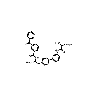 CCCCCCCC(C)C(=O)Nc1cccc(-c2ccc(CC(NC(=O)c3cccc(C(=O)c4ccccc4)c3)C(=O)O)cc2)c1